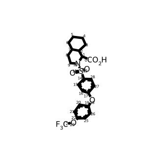 O=C(O)C1C2CCCCC2CCN1S(=O)(=O)c1ccc(Oc2ccc(OC(F)(F)F)cc2)cc1